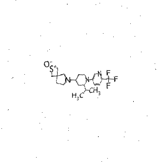 CC(C)C1CC(N2CCC3(C2)C[S+]([O-])C3)CCN1c1ccc(C(F)(F)F)nc1